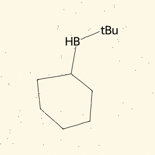 CC(C)(C)BC1CCCCC1